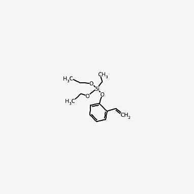 C=Cc1ccccc1O[Si](CC)(OCC)OCC